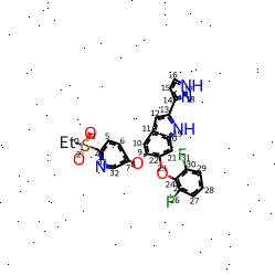 CCS(=O)(=O)c1ccc(Oc2cc3cc(-c4cc[nH]n4)[nH]c3cc2Oc2c(F)cccc2F)cn1